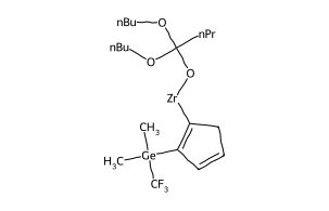 CCCCOC(CCC)(OCCCC)[O][Zr][C]1=[C]([Ge]([CH3])([CH3])[C](F)(F)F)C=CC1